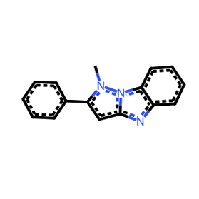 Cn1c(-c2ccccc2)cc2nc3ccccc3n21